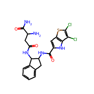 NC(=O)C(N)CC(=O)NC1c2ccccc2CC1NC(=O)c1cc2sc(Cl)c(Cl)c2[nH]1